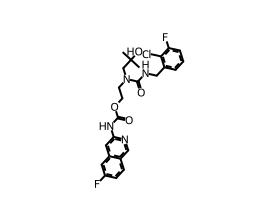 CC(C)(O)CN(CCOC(=O)Nc1cc2cc(F)ccc2cn1)C(=O)NCc1cccc(F)c1Cl